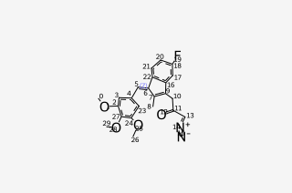 COc1cc(/C=C2\C(C)=C(CC(=O)C=[N+]=[N-])c3cc(F)ccc32)cc(OC)c1OC